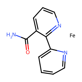 NC(=O)c1cccnc1-c1ccccn1.[Fe]